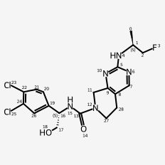 C[C@@H](CF)Nc1ncc2c(n1)CN(C(=O)N[C@H](CO)c1ccc(Cl)c(Cl)c1)CC2